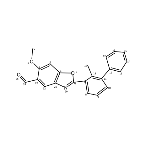 COc1cc2oc(-c3cccc(-c4ccccc4)c3C)nc2cc1C=O